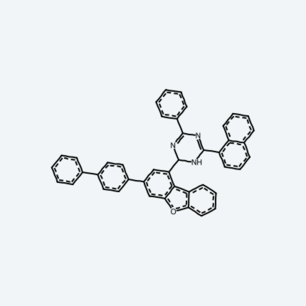 c1ccc(C2=NC(c3cc(-c4ccc(-c5ccccc5)cc4)cc4oc5ccccc5c34)NC(c3cccc4ccccc34)=N2)cc1